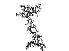 COC(=O)N[C@@H](C(=O)N1[C@@H]2C[C@@H]2C[C@H]1c1nc(-c2ccc(-c3ccc(-c4c[nH]c([C@H]5C[C@H]6C[C@H]6N5C(=O)[C@H](NC(=O)O)C(C)C)n4)cc3)cc2)c[nH]1)C(C)C